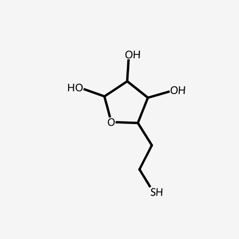 OC1OC(CCS)C(O)C1O